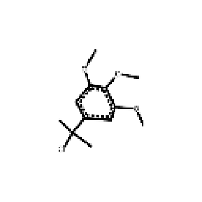 COc1cc(C(C)(C)Cl)cc(OC)c1OC